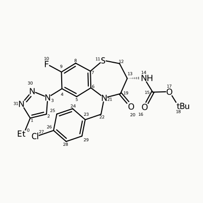 CCc1cn(-c2cc3c(cc2F)SC[C@H](NC(=O)OC(C)(C)C)C(=O)N3Cc2ccc(Cl)cc2)nn1